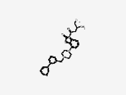 CCC(C)CC(=O)n1c(=O)oc2c(N3CCN(Cc4cccc(-c5ccccc5)c4)CC3)cccc21